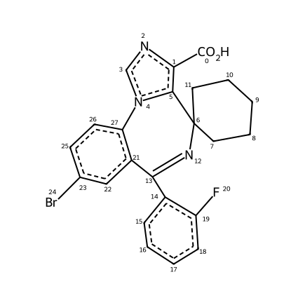 O=C(O)c1ncn2c1C1(CCCCC1)N=C(c1ccccc1F)c1cc(Br)ccc1-2